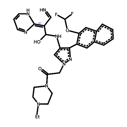 CCN1CCN(C(=O)Cn2cc(NC(O)/C(C=N)=C3\N=CC=CN3)c(-c3cc4ccccc4cc3OC(F)F)n2)CC1